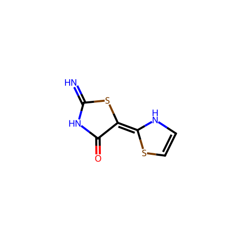 N=C1NC(=O)C(=C2NC=CS2)S1